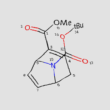 COC(=O)C1=CCC2C=CC1N2C(=O)OC(C)(C)C